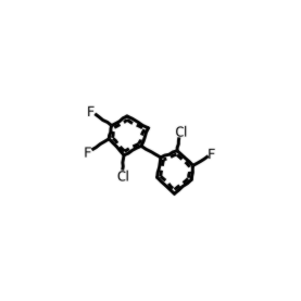 Fc1ccc(-c2cccc(F)c2Cl)c(Cl)c1F